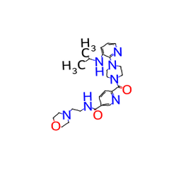 CC(C)Nc1cccnc1N1CCN(C(=O)c2ccc(C(=O)NCCN3CCOCC3)cn2)CC1